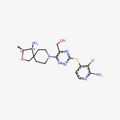 C[C@@H]1OCC2(CCN(c3nnc(Sc4ccnc(N)c4Cl)nc3CO)CC2)[C@@H]1N